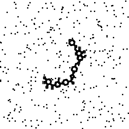 O=C1CCC(Nc2ccc(N3CCC(C(=O)N4CC(N5CCC(COc6cc(F)c7c(=O)[nH]c(COC8CCOCC8)nc7c6)CC5)C4)CC3)c(F)c2)C(=O)N1